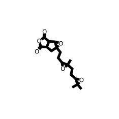 CC1(C)OC1CCC1(C)OC1CCC12CC3C(=O)OC(=O)C3C1O2